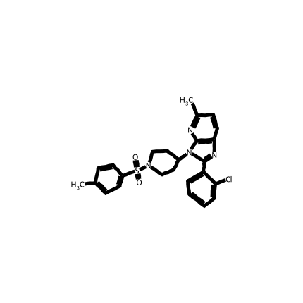 Cc1ccc(S(=O)(=O)N2CCC(n3c(-c4ccccc4Cl)nc4ccc(C)nc43)CC2)cc1